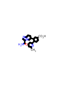 Cc1cccc(-c2ccc(C(=O)O)cc2-c2ccc3ncc(C(N)=O)n3c2)n1